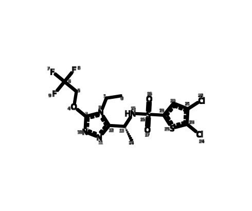 CCn1c(OCC(F)(F)F)nnc1[C@@H](C)NS(=O)(=O)c1cc(Cl)c(Cl)s1